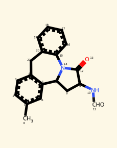 Cc1ccc2c(c1)C1CC(NC=O)C(=O)N1c1ccccc1C2